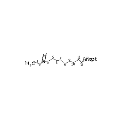 C/C=C/NCCCCCCCCCCCCCCCC